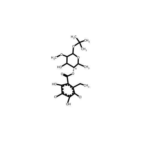 CCc1c(Cl)c(O)c(Cl)c(O)c1C(=O)O[C@H]1C(C)OC(OC(C)(C)C)C(OC)C1O